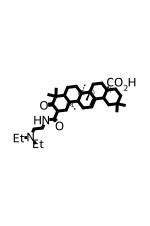 CCN(CC)CCNC(=O)C1C[C@@]2(C)C(CC[C@]3(C)C2CC=C2C4CC(C)(C)CC[C@]4(C(=O)O)CC[C@]23C)C(C)(C)C1=O